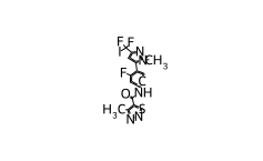 Cc1nnsc1C(=O)Nc1ccc(-c2cc(C(F)(F)I)nn2C)c(F)c1